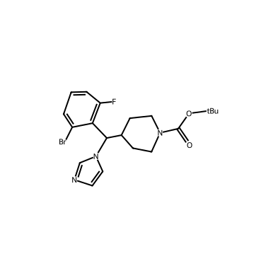 CC(C)(C)OC(=O)N1CCC(C(c2c(F)cccc2Br)n2ccnc2)CC1